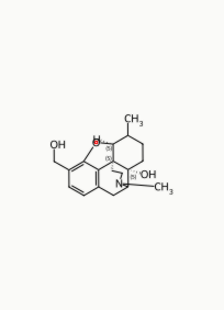 CC1CC[C@@]2(O)C3Cc4ccc(CO)c5c4[C@@]2(CCN3C)[C@H]1O5